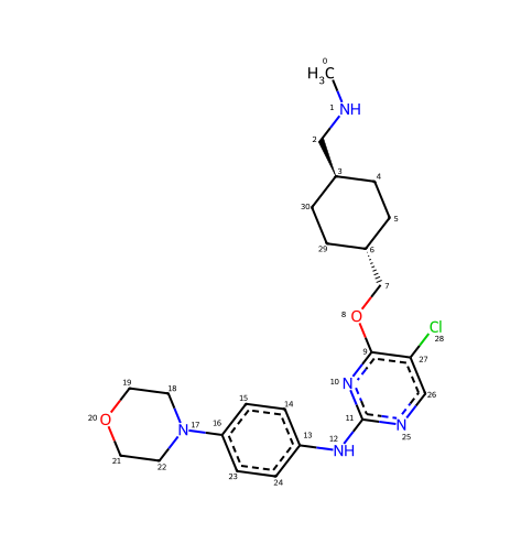 CNC[C@H]1CC[C@H](COc2nc(Nc3ccc(N4CCOCC4)cc3)ncc2Cl)CC1